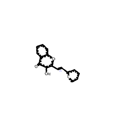 O=c1c(O)c(/C=C/c2ccccc2)oc2ccccc12